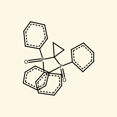 O=P(c1ccccc1)(c1ccccc1)C1(P(=O)(c2ccccc2)c2ccccc2)CC1